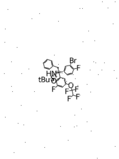 CC(C)(C)[S+]([O-])N[C@@](Cc1ccccc1)(c1cc(F)cc(OC(F)(F)C(F)F)c1)c1ccc(F)c(Br)c1